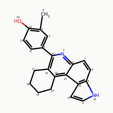 Cc1cc(-c2nc3ccc4[nH]ccc4c3c3c2CCCC3)ccc1O